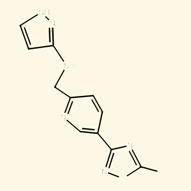 FC(F)(F)c1nc(-c2ccc(CNc3cc[nH]n3)nc2)no1